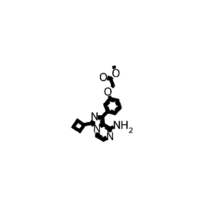 COC(=O)COc1cccc(-c2nc(C3CCC3)n3ccnc(N)c23)c1